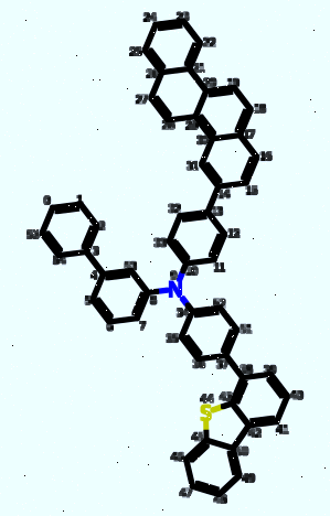 c1ccc(-c2cccc(N(c3ccc(-c4ccc5ccc6c7ccccc7ccc6c5c4)cc3)c3ccc(-c4cccc5c4sc4ccccc45)cc3)c2)cc1